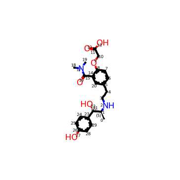 C[C@H](NCCc1ccc(OCC(=O)O)c(C(=O)N(C)C)c1)[C@@H](O)c1ccc(O)cc1